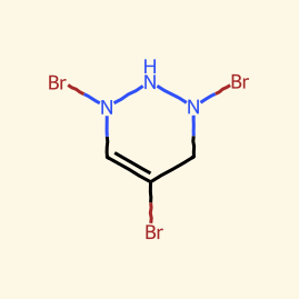 BrC1=CN(Br)NN(Br)C1